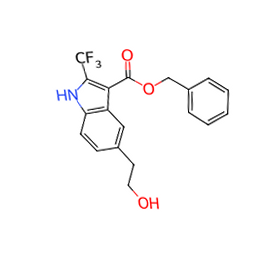 O=C(OCc1ccccc1)c1c(C(F)(F)F)[nH]c2ccc(CCO)cc12